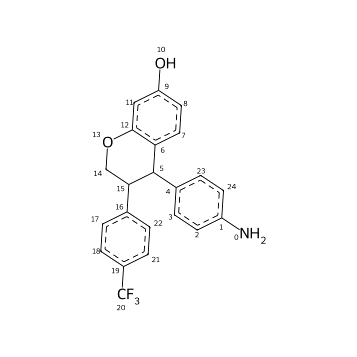 Nc1ccc(C2c3ccc(O)cc3OCC2c2ccc(C(F)(F)F)cc2)cc1